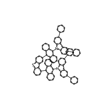 c1ccc(-c2ccc3c(c2)c2cc(-c4ccccc4)ccc2n3-c2c3ccccc3c(-c3ccc4sc5cccc(-c6c7ccccc7c(-n7c8ccc(-c9ccccc9)cc8c8cc(-c9ccccc9)ccc87)c7ccccc67)c5c4c3)c3ccccc23)cc1